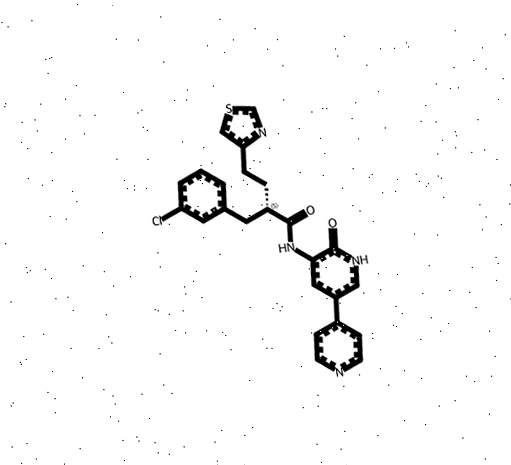 O=C(Nc1cc(-c2ccncc2)c[nH]c1=O)[C@@H](CCc1cscn1)Cc1cccc(Cl)c1